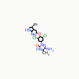 C=C1NC(=O)N(c2cc(Cl)c(Oc3cc4c(C(C)C)c[nH]c4nn3)c(Cl)c2)N=C1N